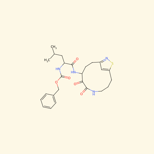 CC(C)CC(NC(=O)OCc1ccccc1)C(=O)NC1CCc2cc(sn2)CCCNC(=O)C1=O